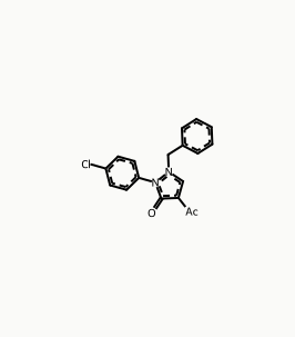 CC(=O)c1cn(Cc2ccccc2)n(-c2ccc(Cl)cc2)c1=O